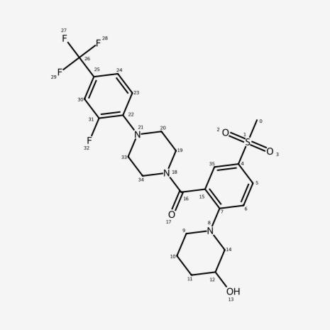 CS(=O)(=O)c1ccc(N2CCCC(O)C2)c(C(=O)N2CCN(c3ccc(C(F)(F)F)cc3F)CC2)c1